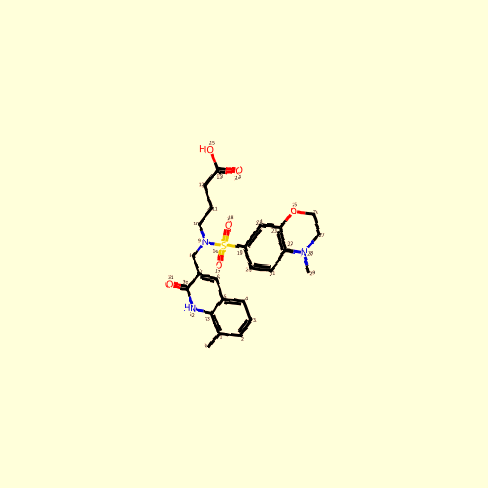 Cc1cccc2cc(CN(CCCC(=O)O)S(=O)(=O)c3ccc4c(c3)OCCN4C)c(=O)[nH]c12